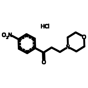 Cl.O=C(CCN1CCOCC1)c1ccc([N+](=O)[O-])cc1